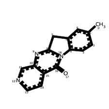 Cc1ccc2c(c1)Cc1nc3cnccc3c(=O)n1-2